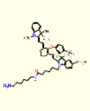 CCCCN1/C(=C/C=C2\CCCC(/C=C/C3=[N+](CCCCCC(=O)NCCCCCCN)c4ccc(S(=O)(=O)O)cc4C3(C)C)=C2Oc2ccc(S(=O)(=O)O)cc2)C(C)(C)c2ccccc21